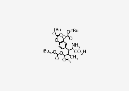 CCC(C)COC(=O)OC(C)C(C)C(c1ccc(OC(=O)OC(C)(C)C)c(OC(=O)OC(C)(C)C)c1)[C@H](N)C(=O)O